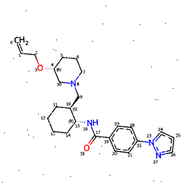 C=CCO[C@@H]1CCCN(C[C@@H]2CCCC[C@H]2NC(=O)c2ccc(-n3cccn3)cc2)C1